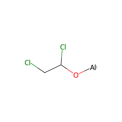 [Al][O]C(Cl)CCl